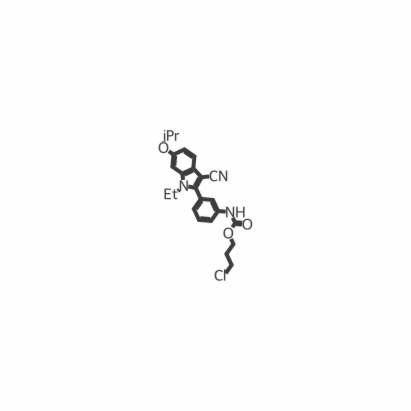 CCn1c(-c2cccc(NC(=O)OCCCCl)c2)c(C#N)c2ccc(OC(C)C)cc21